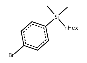 CCCCCC[Si](C)(C)c1ccc(Br)cc1